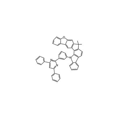 CC1(C)c2cc3oc4ccccc4c3cc2-c2c1ccc1c3ccccc3n(-c3cccc(-c4nc(-c5ccccc5)cc(-c5ccccc5)n4)c3)c21